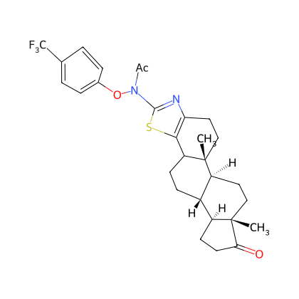 CC(=O)N(Oc1ccc(C(F)(F)F)cc1)c1nc2c(s1)C1CC[C@@H]3[C@H](CC[C@]4(C)C(=O)CC[C@@H]34)[C@@]1(C)CC2